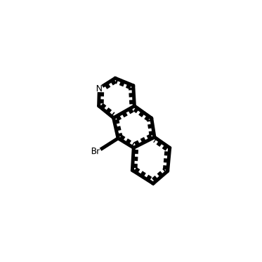 Brc1c2ccccc2cc2ccncc12